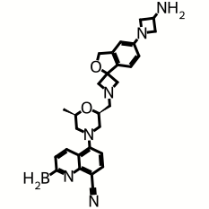 Bc1ccc2c(N3C[C@H](CN4CC5(C4)OCc4cc(N6CC(N)C6)ccc45)O[C@H](C)C3)ccc(C#N)c2n1